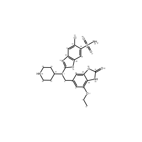 CCOc1cc(CN(c2nc3cc(Cl)c(S(N)(=O)=O)cc3o2)C2CCNCC2)cc2oc(=O)[nH]c12